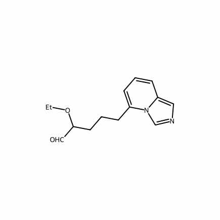 CCOC(C=O)CCCc1cccc2cncn12